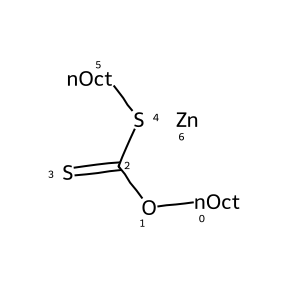 CCCCCCCCOC(=S)SCCCCCCCC.[Zn]